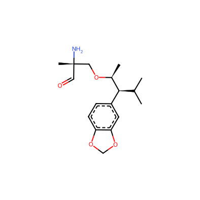 CC(C)[C@@H](c1ccc2c(c1)OCO2)[C@H](C)OC[C@@](C)(N)C=O